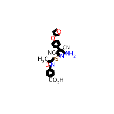 Cc1oc(-c2ccc(C(=O)O)cc2)nc1CSc1nc(N)c(C#N)c(-c2ccc(OC3CCOC3)cc2)c1C#N